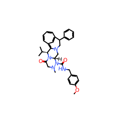 COc1ccc(CNC(=O)N2[C@H]3CN4CC(c5ccccc5)C5=CC(=C4[C@H](C(C)C)N3C(=O)CN2C)C=CC=C5)cc1